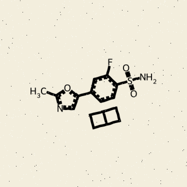 C1CC2CCC12.Cc1ncc(-c2ccc(S(N)(=O)=O)c(F)c2)o1